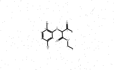 CCOC(=O)C(Oc1cc(Cl)ccc1Br)C(C)=O